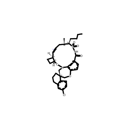 CCCC[C@@H]1[C@H](C)C/C=C\[C@@H]2CC[C@H]2CN2C[C@@]3(CCCc4cc(Cl)ccc43)COc3ccc(cc32)C(=O)NS1(=O)=O